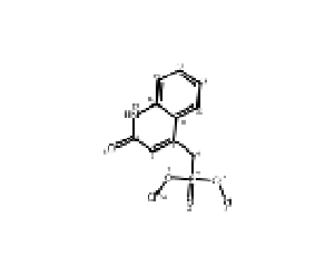 O=c1cc(CP(=O)(OCl)OCl)c2ccccc2[nH]1